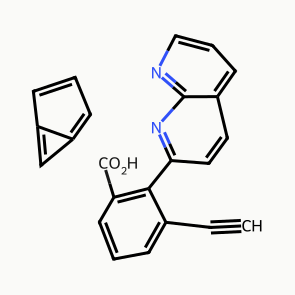 C#Cc1cccc(C(=O)O)c1-c1ccc2cccnc2n1.c1cc2cc-2c1